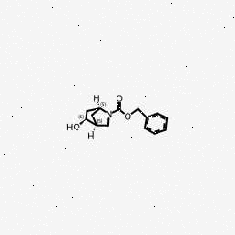 O=C(OCc1ccccc1)N1C[C@@H]2C[C@H]1C[C@@H]2O